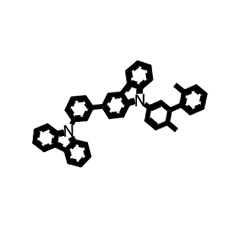 Cc1ccccc1C1C=C(n2c3ccccc3c3cc(-c4cccc(-n5c6ccccc6c6ccccc65)c4)ccc32)C=CC1C